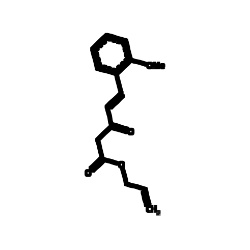 C=CCOC(=O)CC(=O)C=Cc1ccccc1OC